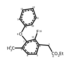 CCOC(=O)Cc1ccc(C)c(Oc2ccccc2)c1F